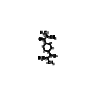 CN(C)C(=O)C1CCC(C(=O)N(C)C)CC1